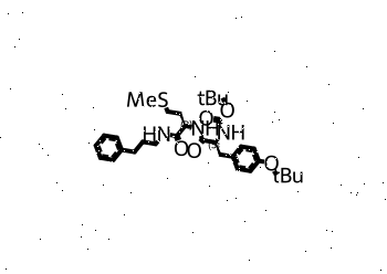 CSCC[C@@H](NC(=O)[C@H](Cc1ccc(OC(C)(C)C)cc1)NC(=O)OC(C)(C)C)C(=O)NCCCc1ccccc1